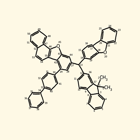 CC1(C)c2ccccc2-c2ccc(C(c3ccc4c(c3)oc3ccccc34)c3cc(-c4ccc(-c5ccccc5)cc4)c4c(c3)oc3c5ccccc5ccc34)cc21